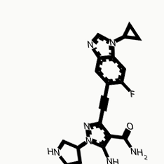 NC(=O)c1c(C#Cc2cc3ncn(C4CC4)c3cc2F)nn(C2CCNC2)c1N